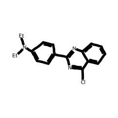 CCN(CC)c1ccc(-c2nc(Cl)c3ccccc3n2)cc1